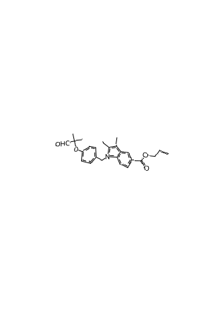 C=CCOC(=O)c1ccc2c(c1)c(C)c(C)n2Cc1ccc(OC(C)(C)C=O)cc1